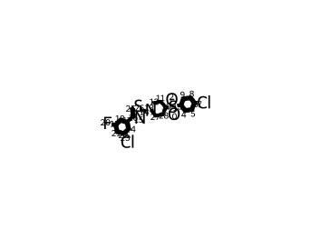 O=S(=O)(c1ccc(Cl)cc1)C1CCN(c2nc(-c3cc(F)cc(Cl)c3)cs2)CC1